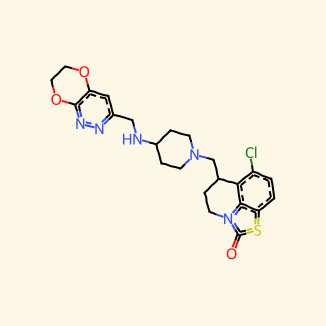 O=c1sc2ccc(Cl)c3c2n1CCC3CN1CCC(NCc2cc3c(nn2)OCCO3)CC1